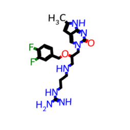 Cc1cc2cn(CC(CNCCCNC(=N)N)OCc3ccc(F)c(F)c3)c(=O)nc2[nH]1